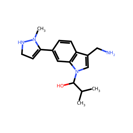 CC(C)C(O)n1cc(CN)c2ccc(C3=CCNN3C)cc21